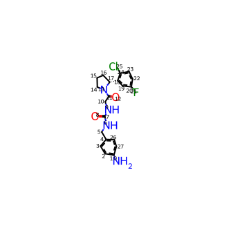 Nc1ccc(CNC(=O)NCC(=O)N2CCC[C@@H]2c2cc(F)ccc2Cl)cc1